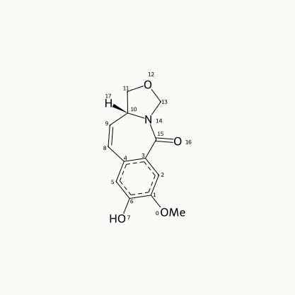 COc1cc2c(cc1O)C=C[C@@H]1COCN1C2=O